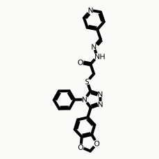 O=C(CSc1nnc(-c2ccc3c(c2)OCO3)n1-c1ccccc1)NN=Cc1ccncc1